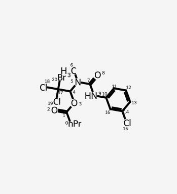 CCCC(=O)OC(N(C)C(=O)Nc1cccc(Cl)c1)C(Cl)(Cl)Br